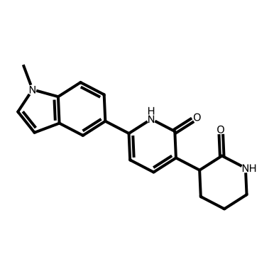 Cn1ccc2cc(-c3ccc(C4CCCNC4=O)c(=O)[nH]3)ccc21